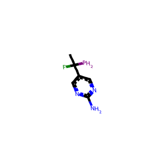 CC(F)(P)c1cnc(N)nc1